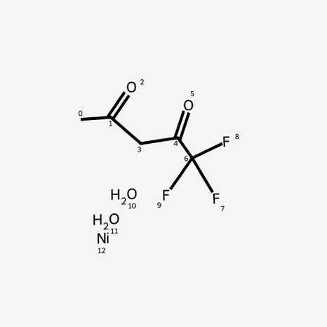 CC(=O)CC(=O)C(F)(F)F.O.O.[Ni]